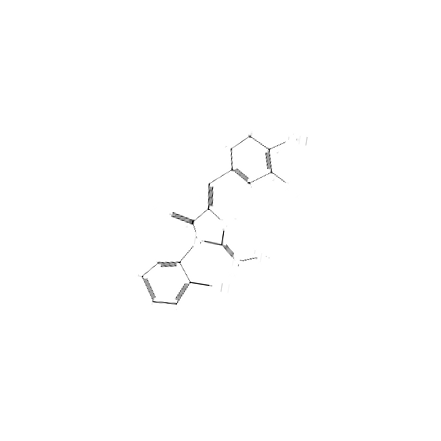 Cc1ccccc1N1C(=O)/C(=C/C2=CC(Cl)=C(O)CC2)S/C1=N\C(C)C